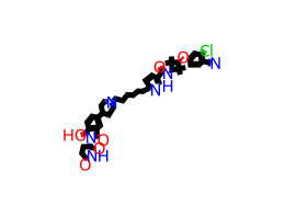 CC1(C)[C@H](NC(=O)c2ccc(CCCCCCN3CCC(c4ccc5c(c4)C(=O)N(C4CCC(=O)NC4=O)C5O)CC3)nc2)C(C)(C)[C@H]1Oc1ccc(C#N)c(Cl)c1